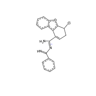 N=C(/N=C(\N)C1=CCC(Cl)c2oc3ccccc3c21)c1ccccc1